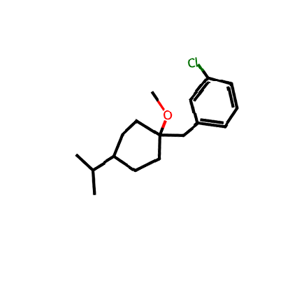 COC1(Cc2cccc(Cl)c2)CCC(C(C)C)CC1